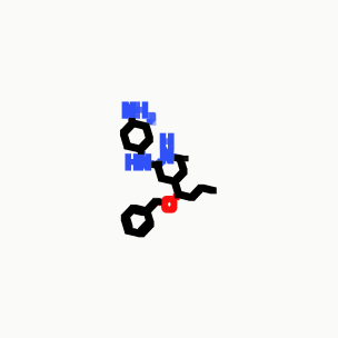 CCCC(OCc1ccccc1)C1C[CH]NC(NC2CCC(N)CC2)C1